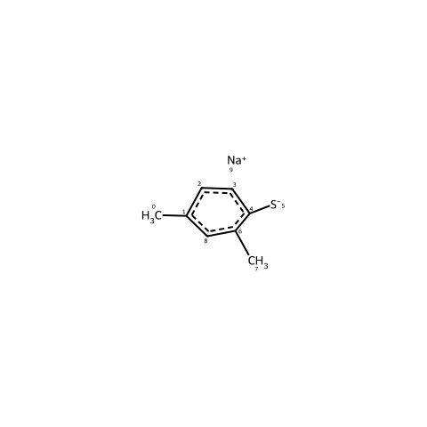 Cc1ccc([S-])c(C)c1.[Na+]